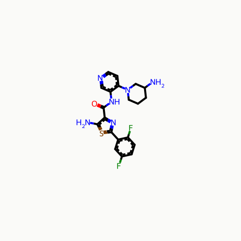 Nc1sc(-c2cc(F)ccc2F)nc1C(=O)Nc1cnccc1N1CCCC(N)C1